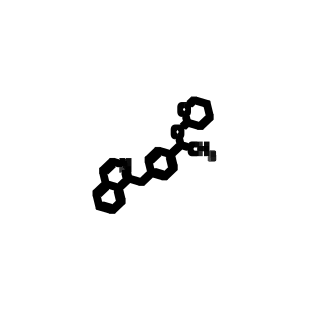 CC(OC1CCCCO1)c1ccc(Cc2nccc3ccccc23)cc1